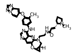 Cc1cc(Nc2ncnc3cc4c(nc23)N(CCNC(=O)/C=C/[C@@H]2CCCN2C)C[C@@H]2CC2O4)ccc1Oc1ccn2ncnc2c1